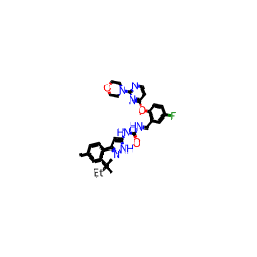 CCC(C)(C)c1cc(C)ccc1-c1cc(NC(=O)NCc2cc(F)ccc2Oc2ccnc(N3CCOCC3)n2)[nH]n1